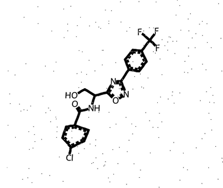 O=C(NC(CO)c1nc(-c2ccc(C(F)(F)F)cc2)no1)c1ccc(Cl)cc1